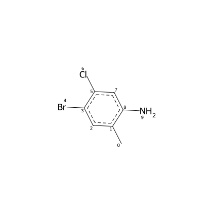 Cc1cc(Br)c(Cl)cc1N